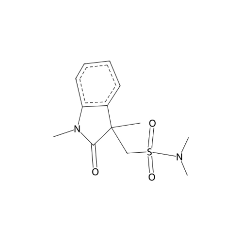 CN1C(=O)C(C)(CS(=O)(=O)N(C)C)c2ccccc21